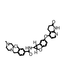 CN1CCN(Cc2ccc(C(=O)N[C@@H]3[C@H]4Oc5ccc(Oc6ccnc7c6CCC(=O)N7)cc5[C@@H]34)cc2Cl)CC1